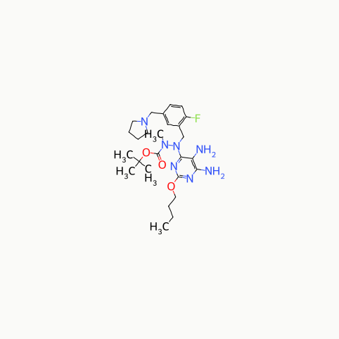 CCCCOc1nc(N)c(N)c(N(Cc2cc(CN3CCCC3)ccc2F)N(C)C(=O)OC(C)(C)C)n1